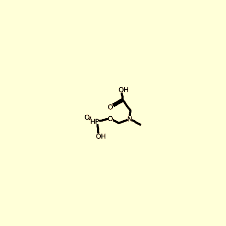 CN(CO[PH](=O)O)CC(=O)O